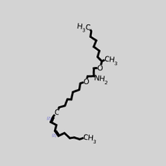 CCCCC/C=C\C/C=C\CCCCCCCCOCC(N)COC(C)CCCCCCC